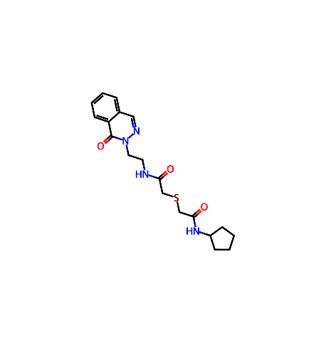 O=C(CSCC(=O)NC1CCCC1)NCCn1ncc2ccccc2c1=O